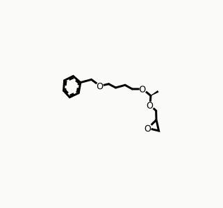 C[C@H](OCCCCOCc1ccccc1)OCC1CO1